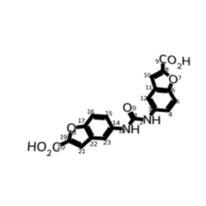 O=C(Nc1ccc2oc(C(=O)O)cc2c1)Nc1ccc2oc(C(=O)O)cc2c1